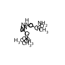 CN1CCC(c2ccc(Nc3ncc4ccc(C5=CN(C(=O)OC(C)(C)C)CCC5)n4n3)cc2)CC1C(N)=O